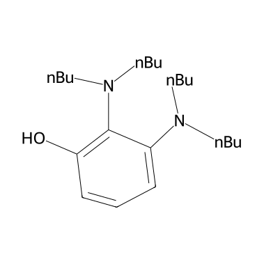 CCCCN(CCCC)c1cccc(O)c1N(CCCC)CCCC